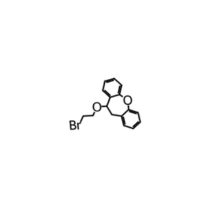 BrCCOC1Cc2ccccc2Oc2ccccc21